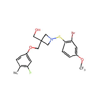 N#Cc1ccc(OCC2(CO)CN(Sc3ccc(OC(F)(F)F)cc3Br)C2)cc1F